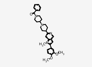 COc1ccc(-c2cc3cnc(C4CCN(C5CCN(C(=O)c6ccccc6)CC5)CC4)cc3n2C)cc1OC